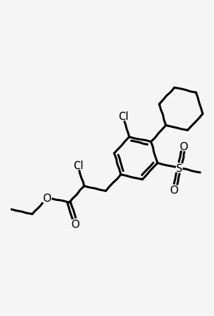 CCOC(=O)C(Cl)Cc1cc(Cl)c(C2CCCCC2)c(S(C)(=O)=O)c1